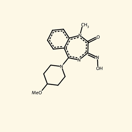 COC1CCN(c2nc(=NO)c(=O)n(C)c3ccccc23)CC1